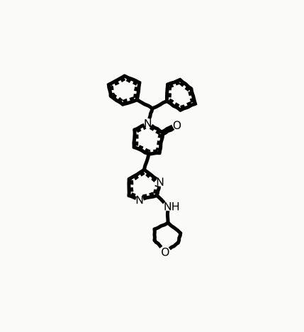 O=c1cc(-c2ccnc(NC3CCOCC3)n2)ccn1C(c1ccccc1)c1ccccc1